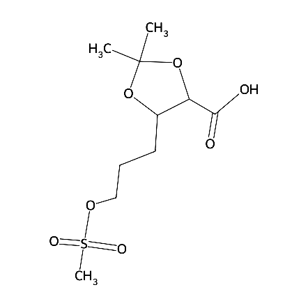 CC1(C)OC(CCCOS(C)(=O)=O)C(C(=O)O)O1